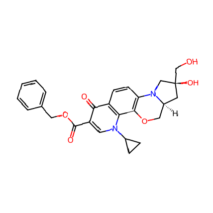 O=C(OCc1ccccc1)c1cn(C2CC2)c2c3c(ccc2c1=O)N1C[C@](O)(CO)C[C@H]1CO3